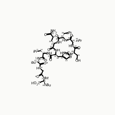 CCCC[C@H](NC(=O)CNC(=O)[C@@H](NC(=O)[C@H](CC(C)C)NC(=O)[C@H](Cc1cnc[nH]1)NC(=O)[C@H](CCC(N)=O)NC(=O)[C@H](CC(C)C)NC(=O)[C@H](CCC)NC(=O)[C@@H](N)CO)[C@@H](C)CC)C(=O)O